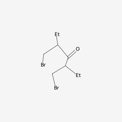 CCC(CBr)C(=O)C(CC)CBr